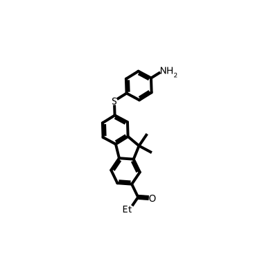 CCC(=O)c1ccc2c(c1)C(C)(C)c1cc(Sc3ccc(N)cc3)ccc1-2